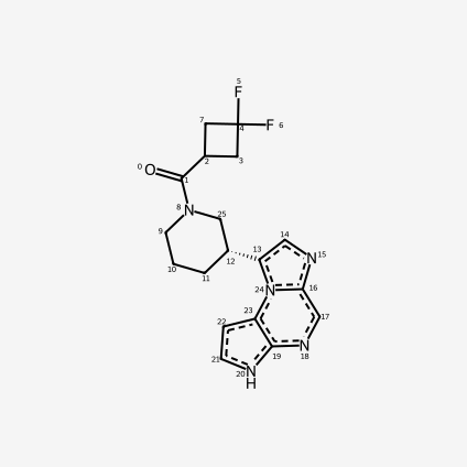 O=C(C1CC(F)(F)C1)N1CCC[C@@H](c2cnc3cnc4[nH]ccc4n23)C1